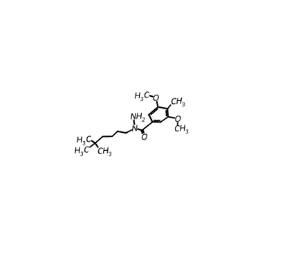 COc1cc(C(=O)N(N)CCCCC(C)(C)C)cc(OC)c1C